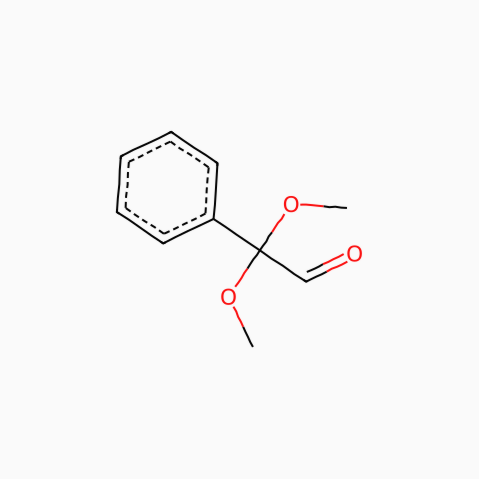 COC(C=O)(OC)c1ccccc1